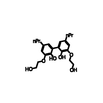 CCCc1cc(OCCO)c(O)c(-c2cc(CCC)cc(OCCO)c2O)c1